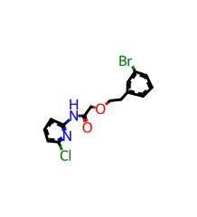 O=C(COCCc1cccc(Br)c1)Nc1cccc(Cl)n1